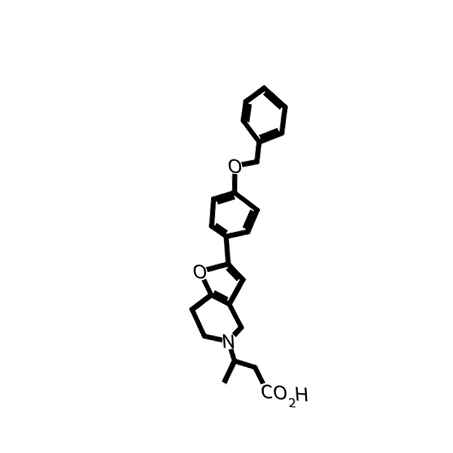 CC(CC(=O)O)N1CCc2oc(-c3ccc(OCc4ccccc4)cc3)cc2C1